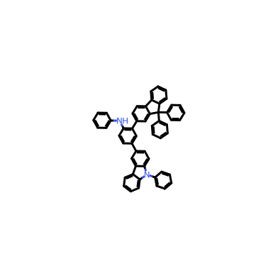 c1ccc(Nc2ccc(-c3ccc4c(c3)c3ccccc3n4-c3ccccc3)cc2-c2ccc3c(c2)C(c2ccccc2)(c2ccccc2)c2ccccc2-3)cc1